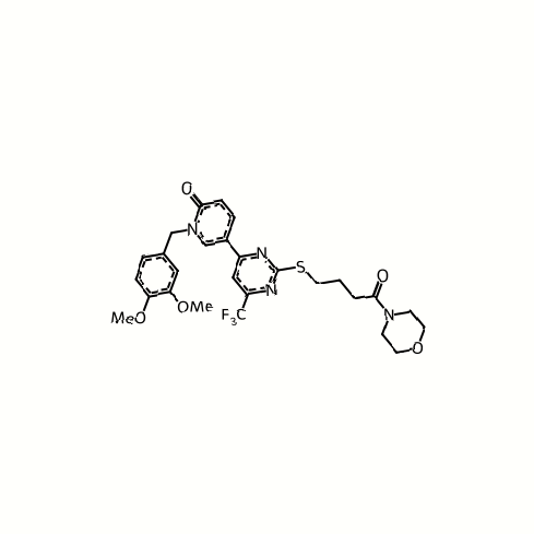 COc1ccc(Cn2cc(-c3cc(C(F)(F)F)nc(SCCCC(=O)N4CCOCC4)n3)ccc2=O)cc1OC